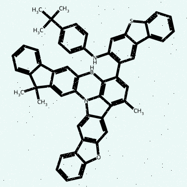 Cc1cc(-c2cc3c(cc2Nc2ccc(C(C)(C)C)cc2)sc2ccccc23)c2c3c1c1cc4oc5ccccc5c4cc1n3-c1cc3c(cc1B2)-c1ccccc1C3(C)C